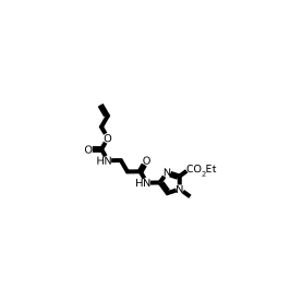 C=CCOC(=O)NCCC(=O)Nc1cn(C)c(C(=O)OCC)n1